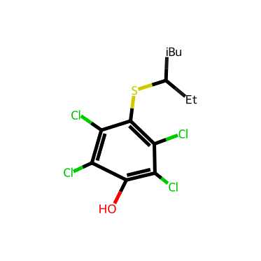 CCC(C)C(CC)Sc1c(Cl)c(Cl)c(O)c(Cl)c1Cl